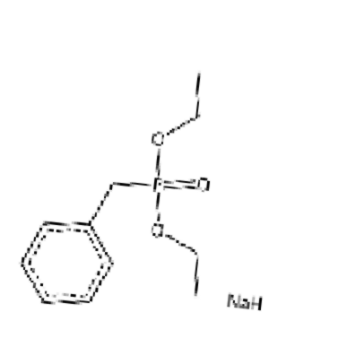 CCOP(=O)(Cc1ccccc1)OCC.[NaH]